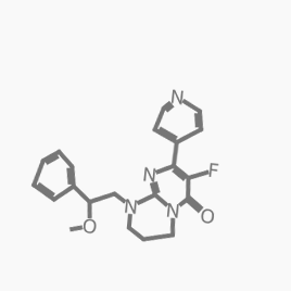 COC(CN1CCCn2c1nc(-c1ccncc1)c(F)c2=O)c1ccccc1